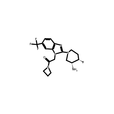 N[C@@H]1CN(c2nc3ccc(C(F)(F)F)cc3n2CC(=O)N2CCC2)CC[C@@H]1F